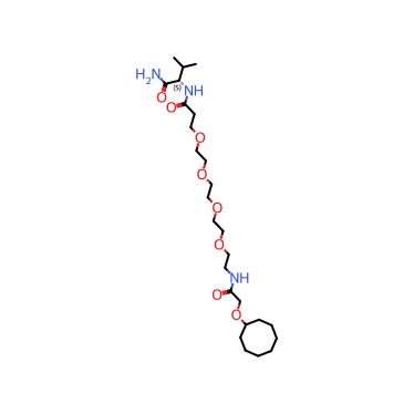 CC(C)[C@H](NC(=O)CCOCCOCCOCCOCCNC(=O)COC1CCCCCCC1)C(N)=O